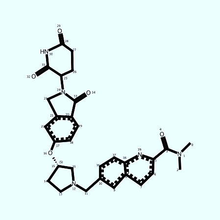 CN(C)C(=O)c1ccc2cc(CN3CC[C@H](Oc4ccc5c(c4)CN(C4CCC(=O)NC4=O)C5=O)C3)ccc2n1